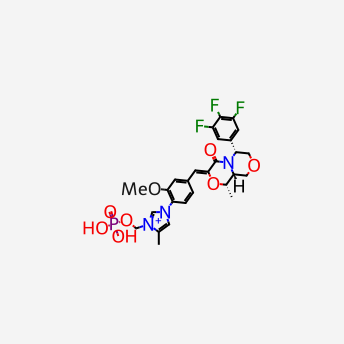 COc1cc(/C=C2\O[C@@H](C)[C@H]3COC[C@@H](c4cc(F)c(F)c(F)c4)N3C2=O)ccc1-n1cc(C)[n+](COP(=O)(O)O)c1